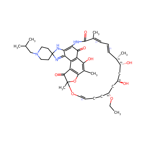 CCO[C@@H]1CC/C=C/OC2(C)Oc3c(C)c(O)c4c(c3C2=O)C2=NC3(CCN(CC(C)C)CC3)NC2=C(NC(=O)/C(C)=C\C=C\[C@H](C)[C@H](O)C[C@@H](O)C1)C4=O